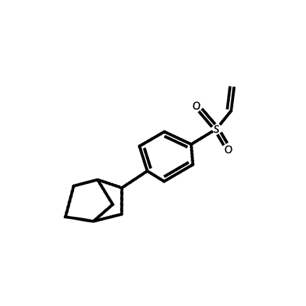 C=CS(=O)(=O)c1ccc(C2CC3CCC2C3)cc1